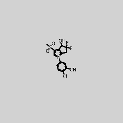 CS(=O)(=O)c1cn(-c2ccc(Cl)c(C#N)c2)c2c1C(O)C(F)(F)C2